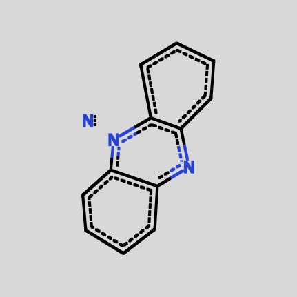 [N].c1ccc2nc3ccccc3nc2c1